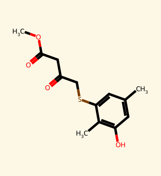 COC(=O)CC(=O)CSc1cc(C)cc(O)c1C